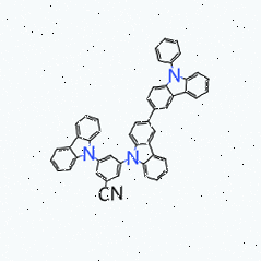 N#Cc1cc(-n2c3ccccc3c3ccccc32)cc(-n2c3ccccc3c3cc(-c4ccc5c(c4)c4ccccc4n5-c4ccccc4)ccc32)c1